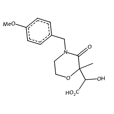 COc1ccc(CN2CCOC(C)(C(O)C(=O)O)C2=O)cc1